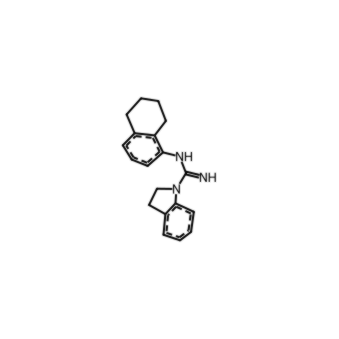 N=C(Nc1cccc2c1CCCC2)N1CCc2ccccc21